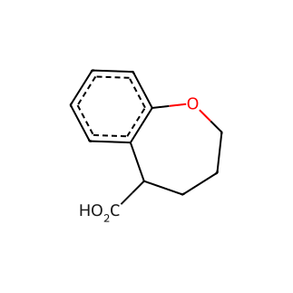 O=C(O)C1CCCOc2ccccc21